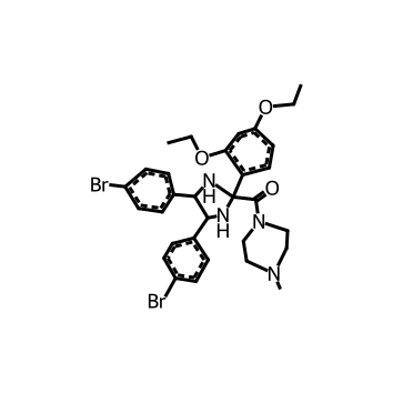 CCOc1ccc(C2(C(=O)N3CCN(C)CC3)NC(c3ccc(Br)cc3)C(c3ccc(Br)cc3)N2)c(OCC)c1